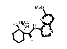 COc1ccc2nccc(NC(=O)[C@@]3(NC(=O)O)CCCC[C@H]3O)c2n1